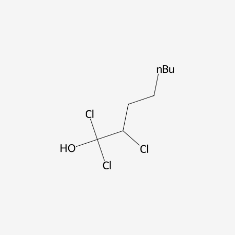 CCCCCCC(Cl)C(O)(Cl)Cl